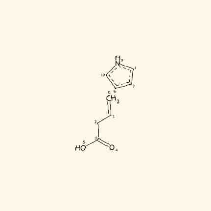 C=CCC(=O)O.c1cc[nH]c1